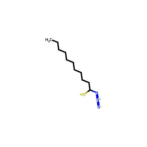 CCCCCCCCCCC(S)N=[N+]=[N-]